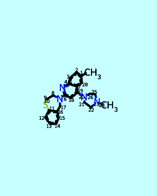 Cc1ccc2nc(N3CCSc4ccccc4C3)cc(N3CCN(C)CC3)c2c1